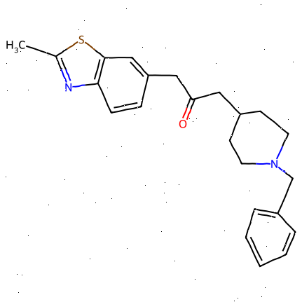 Cc1nc2ccc(CC(=O)CC3CCN(Cc4ccccc4)CC3)cc2s1